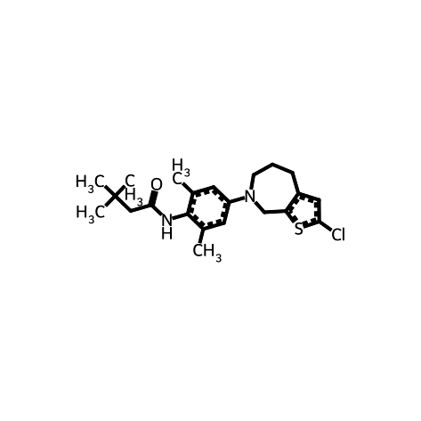 Cc1cc(N2CCCc3cc(Cl)sc3C2)cc(C)c1NC(=O)CC(C)(C)C